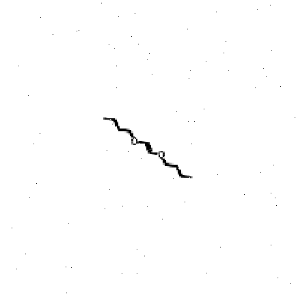 CCCCOC=COCCCC